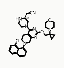 N#CC[C@H]1CN(c2nc(OCC3(N4CCOCC4)CC3)nc3c2CCN(c2cccc4cccc(Cl)c24)C3)CCN1